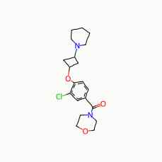 O=C(c1ccc(OC2CC(N3CCCCC3)C2)c(Cl)c1)N1CCOCC1